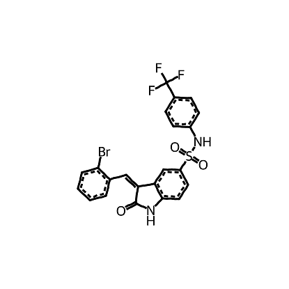 O=C1Nc2ccc(S(=O)(=O)Nc3ccc(C(F)(F)F)cc3)cc2C1=Cc1ccccc1Br